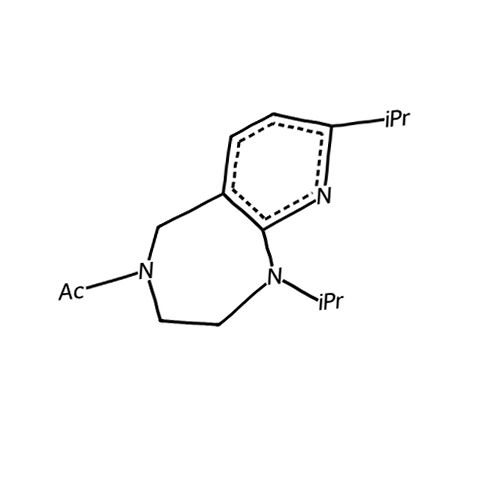 CC(=O)N1CCN(C(C)C)c2nc(C(C)C)ccc2C1